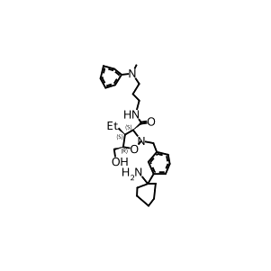 CC[C@@H]1[C@H](CO)ON(Cc2cccc(C3(N)CCCCC3)c2)[C@@H]1C(=O)NCCCN(C)c1ccccc1